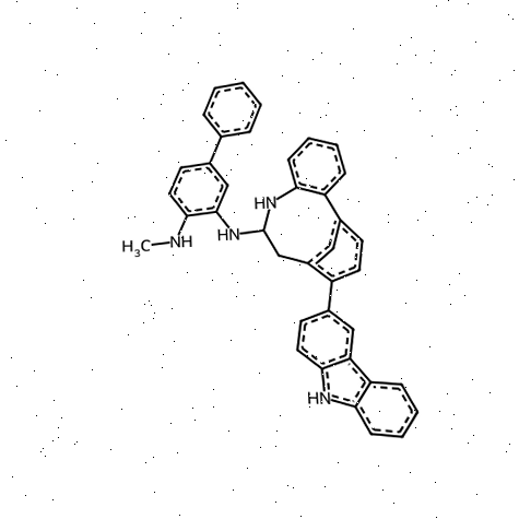 CNc1ccc(-c2ccccc2)cc1NC1Cc2cc(ccc2-c2ccc3[nH]c4ccccc4c3c2)-c2ccccc2N1